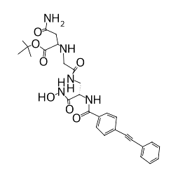 CC(C)(C)OC(=O)C(CC(N)=O)NCC(=O)NC[C@H](NC(=O)c1ccc(C#Cc2ccccc2)cc1)C(=O)NO